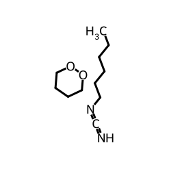 C1CCOOC1.CCCCCCN=C=N